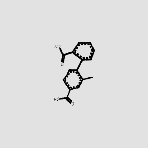 Cc1cc(C(=O)O)ccc1-c1ccccc1C(=O)O